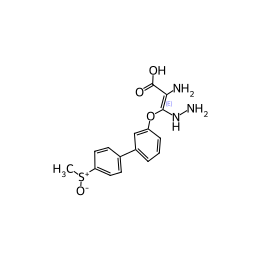 C[S+]([O-])c1ccc(-c2cccc(O/C(NN)=C(/N)C(=O)O)c2)cc1